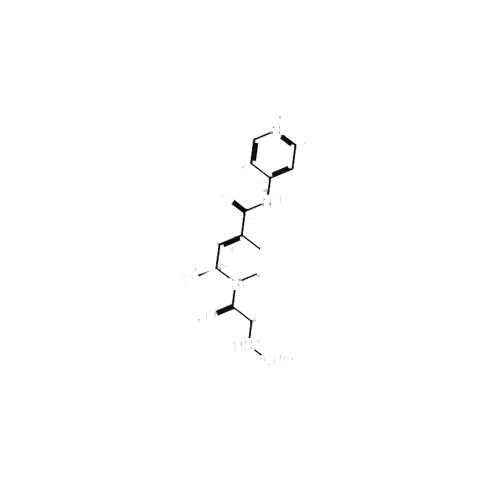 C/C(=C\[C@H](C(C)C)N(C)C(=O)CNC=O)C(=O)Nc1ccncc1